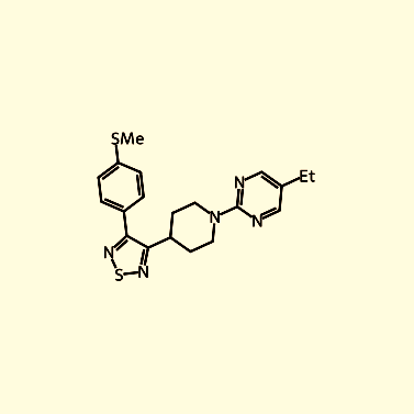 CCc1cnc(N2CCC(c3nsnc3-c3ccc(SC)cc3)CC2)nc1